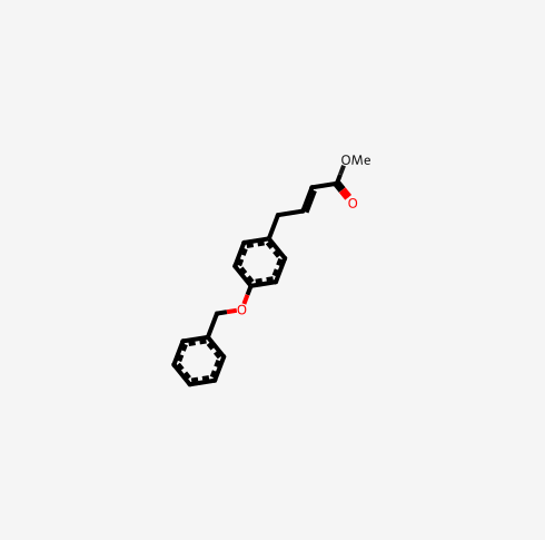 COC(=O)C=CCc1ccc(OCc2ccccc2)cc1